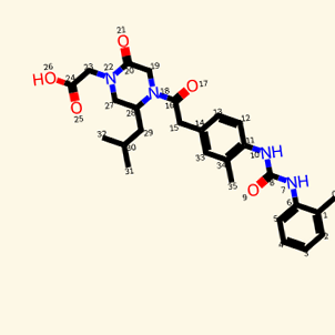 Cc1ccccc1NC(=O)Nc1ccc(CC(=O)N2CC(=O)N(CC(=O)O)CC2CC(C)C)cc1C